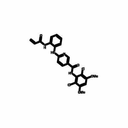 C=CC(=O)Nc1ccccc1Nc1ccc(C(=O)Nc2c(Cl)c(OC)cc(OC)c2Cl)cn1